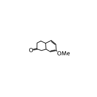 COC1=CC2CC(=O)CCC2C=C1